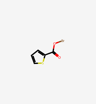 O=C(OBr)c1cccs1